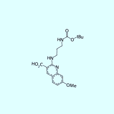 COc1ccc2cc(C(=O)O)c(NCCCNC(=O)OC(C)(C)C)nc2c1